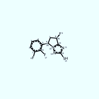 Fc1cccc([C@H]2C[C@@H](F)c3nc(S)nn32)c1F